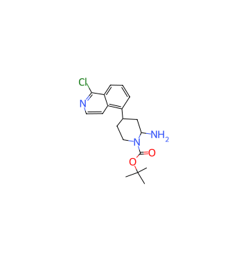 CC(C)(C)OC(=O)N1CCC(c2cccc3c(Cl)nccc23)CC1N